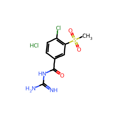 CS(=O)(=O)c1cc(C(=O)NC(=N)N)ccc1Cl.Cl